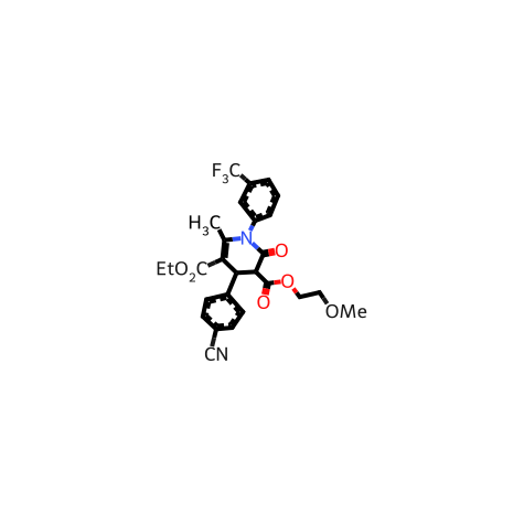 CCOC(=O)C1=C(C)N(c2cccc(C(F)(F)F)c2)C(=O)C(C(=O)OCCOC)C1c1ccc(C#N)cc1